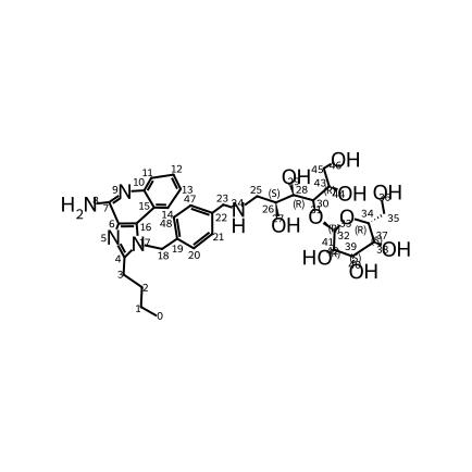 CCCCc1nc2c(N)nc3ccccc3c2n1Cc1ccc(CNC[C@H](O)[C@@H](O)C(O[C@H]2O[C@H](CO)[C@@H](O)[C@H](O)[C@H]2O)[C@H](O)CO)cc1